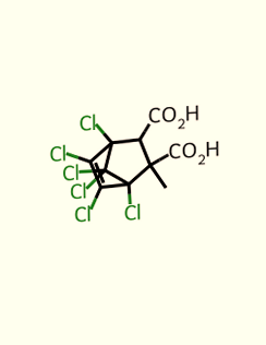 CC1(C(=O)O)C(C(=O)O)C2(Cl)C(Cl)=C(Cl)C1(Cl)C2(Cl)Cl